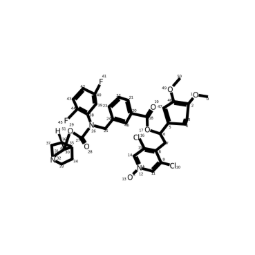 COc1ccc(C(Cc2c(Cl)c[n+]([O-])cc2Cl)OC(=O)c2cccc(CN(C(=O)O[C@H]3CN4CCC3CC4)c3cc(F)ccc3F)c2)cc1OC